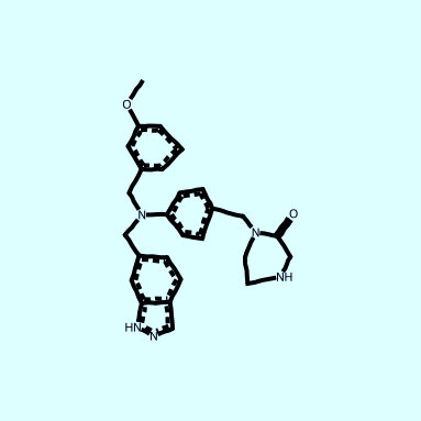 COc1cccc(CN(Cc2ccc3cn[nH]c3c2)c2ccc(CN3CCNCC3=O)cc2)c1